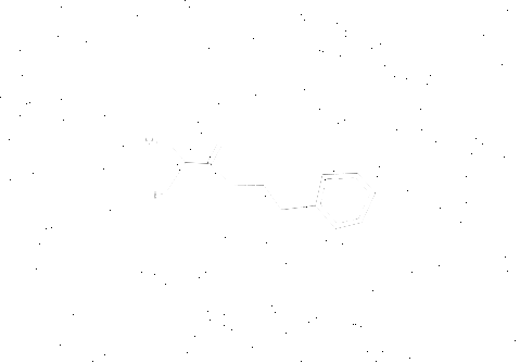 COC(C(=O)OCCc1ccccc1)C(C)C